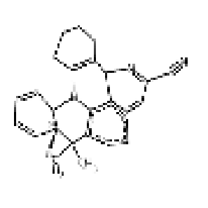 CC1(C)c2ccccc2N(C2=C(C3CC=CC(C#N)=N3)CCCC2)C2C=CC=C[C@H]21